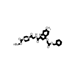 CCCCOC(=O)N1CCN(C(=O)CNC(=O)c2cc(OCC(=O)OCc3ccccc3)c3ccc(C)cc3n2)CC1